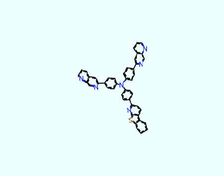 c1cnc2cnc(-c3ccc(N(c4ccc(-c5cc6cccnc6cn5)cc4)c4ccc(-c5ccc6c(n5)sc5ccccc56)cc4)cc3)cc2c1